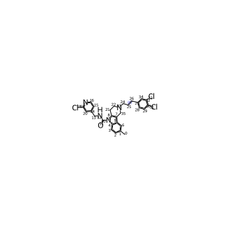 Cc1ccc2c(c1)c1c(n2C(=O)NCc2ccnc(Cl)c2)CCN(C/C=C/c2ccc(Cl)c(Cl)c2)C1